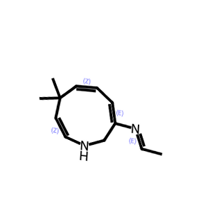 C/C=N/C1=C/C=C\C(C)(C)/C=C\NC1